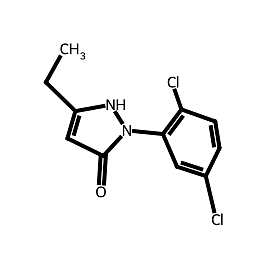 CCc1cc(=O)n(-c2cc(Cl)ccc2Cl)[nH]1